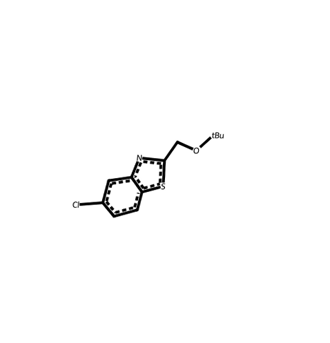 CC(C)(C)OCc1nc2cc(Cl)ccc2s1